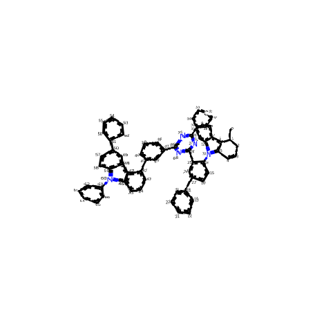 CC1CC=Cc2c1c1ccccc1n2-c1ccc(-c2ccccc2)cc1-c1nc(-c2ccccc2)nc(-c2cccc(-c3cccc4c3c3cc(-c5ccccc5)ccc3n4-c3ccccc3)c2)n1